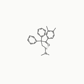 Cc1ccc(C(=O)C(C[C@H](C)N(C)C)(c2ccccc2)c2ccccc2)cc1C